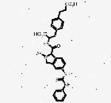 CC(=O)N1Cc2cc(NC(=S)Nc3ccccc3)ccc2C1C(=O)NC(Cc1ccc(CCC(=O)O)cc1)C(=O)O